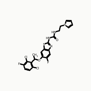 CC(Oc1cc2sc(NC(=O)NCCn3cccc3)nc2cc1F)c1c(Cl)ccc(F)c1Cl